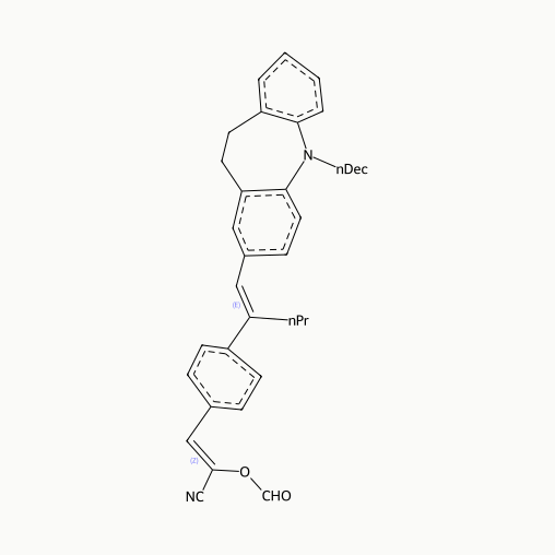 CCCCCCCCCCN1c2ccccc2CCc2cc(/C=C(\CCC)c3ccc(/C=C(/C#N)OC=O)cc3)ccc21